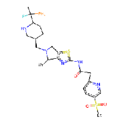 CCS(=O)(=O)c1ccc(CC(=O)Nc2nc3c(s2)CN(C[C@@H]2CCC(C(C)(F)P)NC2)C3C(C)C)nc1